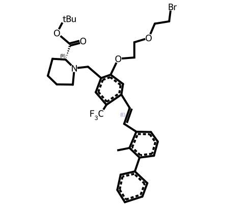 Cc1c(/C=C/c2cc(OCCOCCBr)c(CN3CCCC[C@@H]3C(=O)OC(C)(C)C)cc2C(F)(F)F)cccc1-c1ccccc1